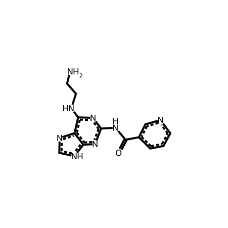 NCCNc1nc(NC(=O)c2cccnc2)nc2[nH]cnc12